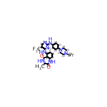 CC1NC(=O)c2c(cccc2Nc2nc(Nc3ccc(N4CCN(C(C)C)CC4)cc3)ncc2C(F)(F)F)NC1=O